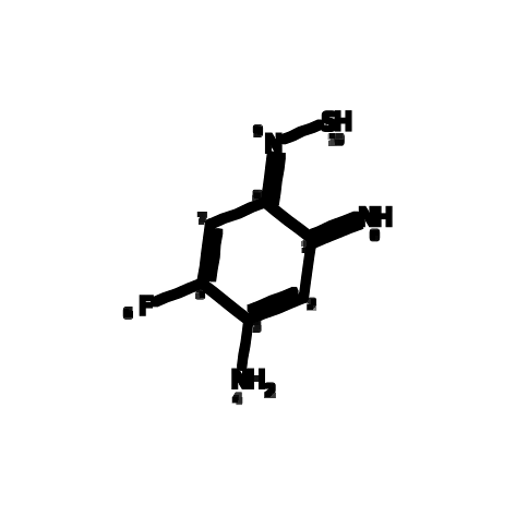 N=C1C=C(N)C(F)=C/C1=N/S